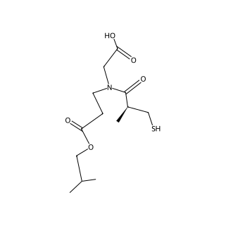 CC(C)COC(=O)CCN(CC(=O)O)C(=O)[C@H](C)CS